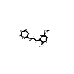 COc1ccc(Br)c(CCOC2CCCCO2)n1